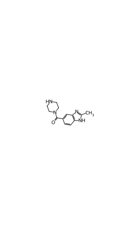 Cc1nc2cc(C(=O)N3CCNCC3)ccc2[nH]1